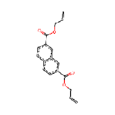 C=CCOC(=O)c1ccc2ccc(C(=O)OCC=C)cc2c1